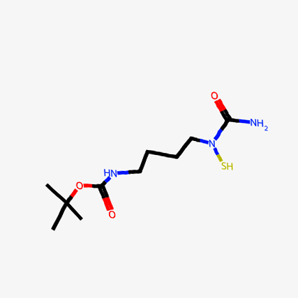 CC(C)(C)OC(=O)NCCCCN(S)C(N)=O